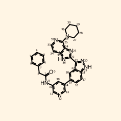 O=C(Cc1ccccc1)Nc1cncc(-c2ccc3[nH]nc(-c4nc5c(N6CCCCC6)nccc5[nH]4)c3c2)c1